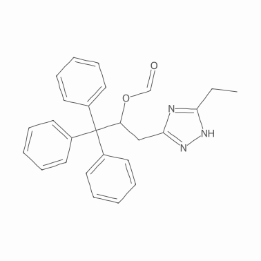 CCc1nc(CC(OC=O)C(c2ccccc2)(c2ccccc2)c2ccccc2)n[nH]1